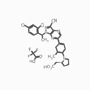 CC1CC(c2cnc3c(C#N)nn(C(C)c4ccc(Cl)cc4Cl)c3n2)=CCC1N1CCC[C@H]1CC(=O)O.O=C(O)C(F)(F)F